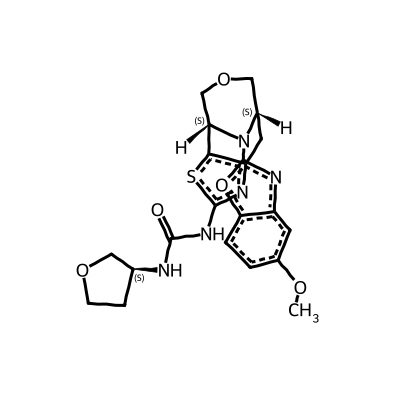 COc1ccc2oc(N3[C@@H]4COC[C@H]3c3sc(NC(=O)N[C@H]5CCOC5)nc3C4)nc2c1